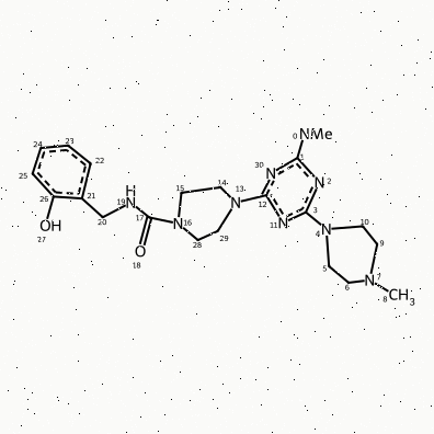 CNc1nc(N2CCN(C)CC2)nc(N2CCN(C(=O)NCc3ccccc3O)CC2)n1